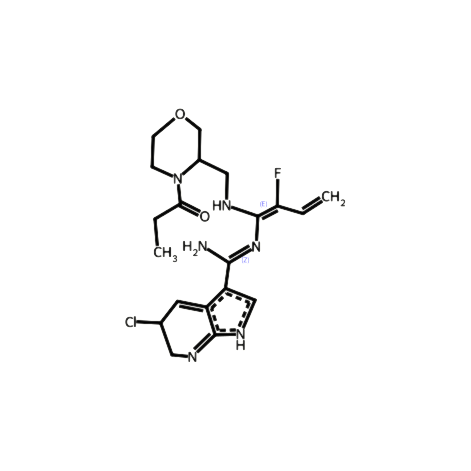 C=C/C(F)=C(\N=C(/N)c1c[nH]c2c1=CC(Cl)CN=2)NCC1COCCN1C(=O)CC